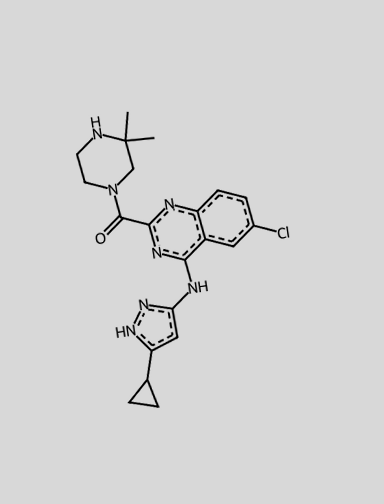 CC1(C)CN(C(=O)c2nc(Nc3cc(C4CC4)[nH]n3)c3cc(Cl)ccc3n2)CCN1